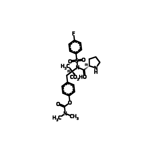 CN(C)C(=O)Oc1ccc(C[C@@](C)(C(=O)O)N(C(=O)[C@@H]2CCCN2)S(=O)(=O)c2ccc(F)cc2)cc1